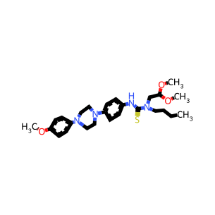 CCCCN(CC(OC)OC)C(=S)Nc1ccc(N2CCN(c3ccc(OC)cc3)CC2)cc1